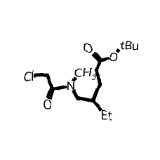 CCC(CCC(=O)OC(C)(C)C)CN(C)C(=O)CCl